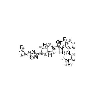 CC(C)N1CCN([C@H]2CCCC(F)(F)[C@@H]2NC(=O)N2C[C@H]3C[C@H](c4noc([C@@H]5C[C@@H]5F)n4)C[C@H]3C2)CC1